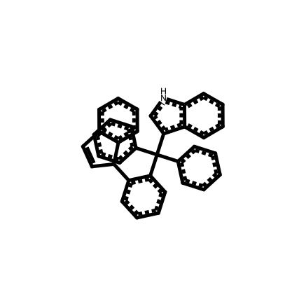 C1=CC(c2ccccc2C(c2ccccc2)(c2ccccc2)c2c[nH]c3ccccc23)c2ccccc21